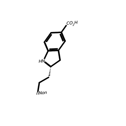 CCCCCCCCCCC[C@H]1Cc2cc(C(=O)O)ccc2N1